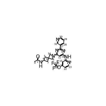 CC(=O)NC1CC2(C1)CN(c1cc(Nc3cc(OC(F)(F)F)ccn3)nc(-c3cccnc3)n1)C2